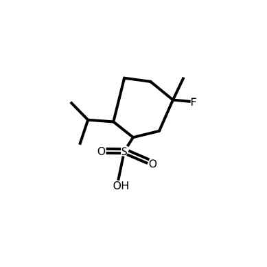 CC(C)C1CCC(C)(F)CC1S(=O)(=O)O